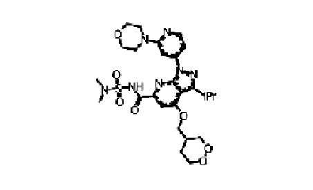 CC(C)c1nn(-c2ccnc(N3CCOCC3)c2)c2nc(C(=O)NS(=O)(=O)N(C)C)cc(OCC3CCOOC3)c12